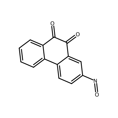 O=Nc1ccc2c(c1)C(=O)C(=O)c1ccccc1-2